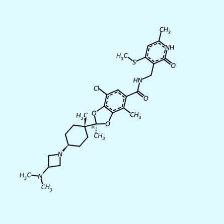 CSc1cc(C)[nH]c(=O)c1CNC(=O)c1cc(Cl)c2c(c1C)O[C@@](C)([C@]1(C)CC[C@@H](N3CC(N(C)C)C3)CC1)O2